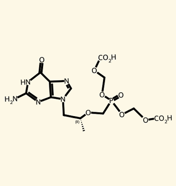 C[C@H](Cn1cnc2c(=O)[nH]c(N)nc21)OCP(=O)(OCOC(=O)O)OCOC(=O)O